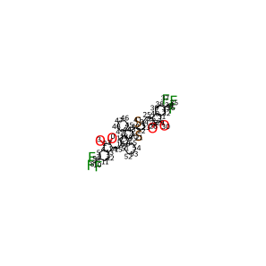 O=C1C(=O)c2cc(C(F)(F)F)ccc2/C1=C/C1=CC2=C(c3sc4cc(/C=C5\C(=O)C(=O)c6cc(C(F)(F)F)ccc65)sc4c3C23CCCCC3)C12CCCCC2